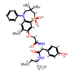 CCCCC1(CCCC)CN(c2ccccc2)c2cc(SC)c(OCC(=O)N[C@@H](C(=O)N[C@@H](COC)C(=O)O)c3ccc(O)cc3)cc2S(=O)(=O)C1